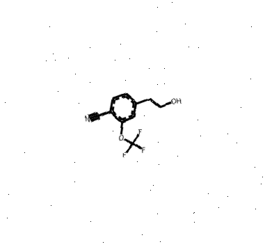 N#Cc1ccc(CCO)cc1OC(F)(F)F